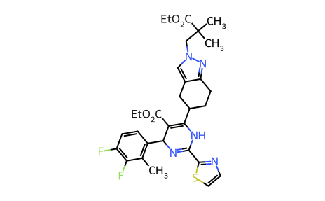 CCOC(=O)C1=C(C2CCc3nn(CC(C)(C)C(=O)OCC)cc3C2)NC(c2nccs2)=NC1c1ccc(F)c(F)c1C